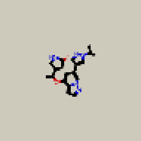 CC(Oc1cc(-c2cnn(C(C)C)c2)cn2nccc12)C1CNC(=O)C1